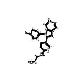 Cc1ccc(-n2c(-c3ccc(NCCO)nc3)nc3ccncc32)nc1